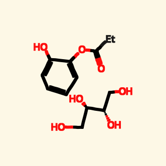 CCC(=O)Oc1ccccc1O.OC[C@@H](O)[C@@H](O)CO